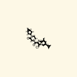 Cc1cc(C2CC2)cn2c(Cl)c(C(=O)N3CCN(C4CC5CC5C4)C(=O)C3)nc12